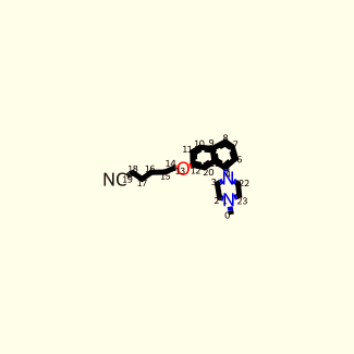 CN1CCN(c2cccc3ccc(OCCCCCC#N)cc23)CC1